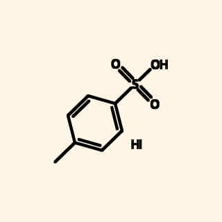 Cc1ccc(S(=O)(=O)O)cc1.I